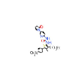 CCOC(=O)c1c(NC(=O)Nc2ccc(N3C=CCC3=O)cn2)sc(-c2ccc([N+](=O)[O-])cc2)c1C